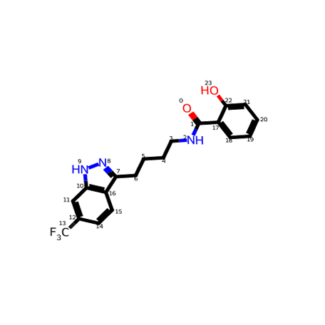 O=C(NCCCCc1n[nH]c2cc(C(F)(F)F)ccc12)c1ccccc1O